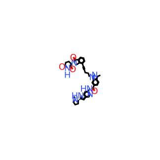 Cc1nn(CCCC#Cc2cccc3c2CN(C2CCC(=O)NC2=O)C3=O)c2cc(C(=O)Nc3cc4[nH]c([C@H]5CCCN5C)cc4cn3)ccc12